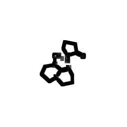 CN1CCCN2CCCN=C12.O=C1CCCN1